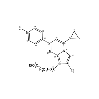 CCOC(C)=O.CCc1nn2c(C3CC3)cc(-c3ccc(Cl)cc3)nc2c1C(=O)O